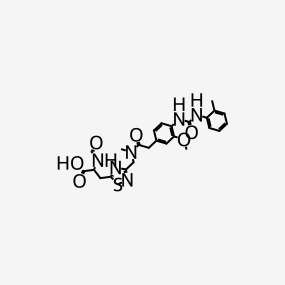 COc1cc(CC(=O)N(C)Cc2nsc(CC(NC=O)C(=O)O)n2)ccc1NC(=O)Nc1ccccc1C